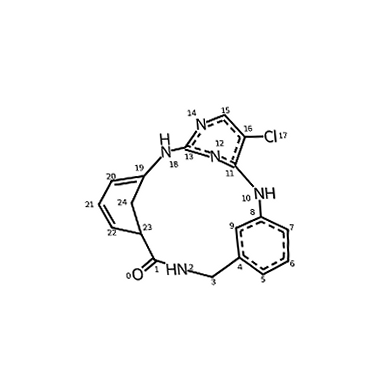 O=C1NCc2cccc(c2)Nc2nc(ncc2Cl)NC2=CC=CC1C2